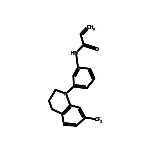 C=CC(=O)Nc1cccc(N2CCCc3ccc(C(F)(F)F)cc32)c1